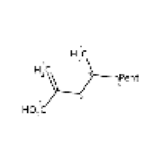 C=C(CC(C)CCCCC)C(=O)O